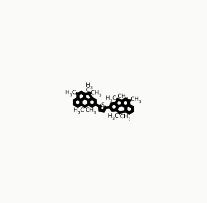 Cc1cc2c3c4c(cccc14)C(C)(C)c1cc(-c4ccc(-c5cc6c7c(c5)C(C)(C)c5cccc8c(C)cc(c-7c58)C6(C)C)s4)cc(c1-3)C2(C)C